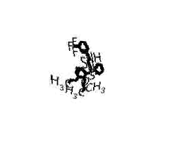 CCCc1cccc(C2Sc3ccccc3N2C(=S)Nc2cccc(C(F)(F)F)c2)c1OCC(C)C